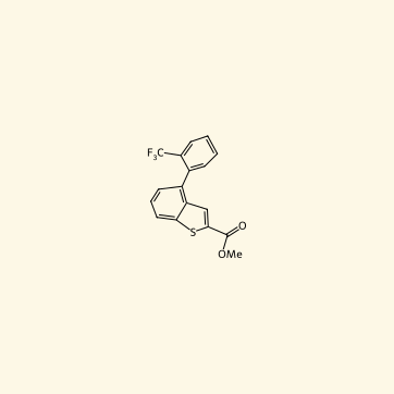 COC(=O)c1cc2c(-c3ccccc3C(F)(F)F)cccc2s1